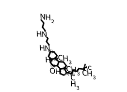 CC(=O)C(C)CCC[C@@H](C)[C@H]1CCC2C3C(CC[C@@]21C)[C@@]1(C)CC[C@H](NCCCNCCCCN)C[C@@H]1C[C@H]3O